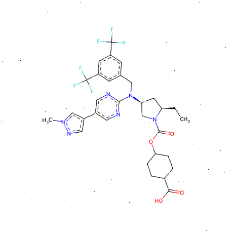 CC[C@@H]1C[C@H](N(Cc2cc(C(F)(F)F)cc(C(F)(F)F)c2)c2ncc(-c3cnn(C)c3)cn2)CN1C(=O)OC1CCC(C(=O)O)CC1